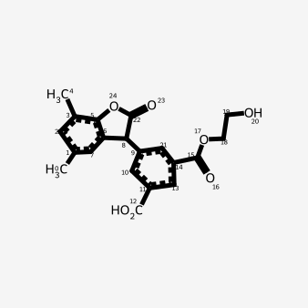 Cc1cc(C)c2c(c1)C(c1cc(C(=O)O)cc(C(=O)OCCO)c1)C(=O)O2